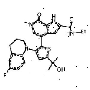 CCNC(=O)c1cc2c(-c3sc(C(C)(C)O)cc3N3CCCc4cc(F)ccc43)cn(C)c(=O)c2[nH]1